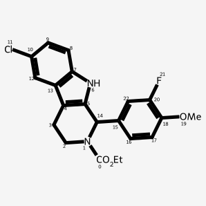 CCOC(=O)N1CCc2c([nH]c3ccc(Cl)cc23)C1c1ccc(OC)c(F)c1